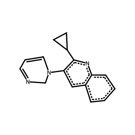 C1=CN(c2cc3ccccc3nc2C2CC2)CN=C1